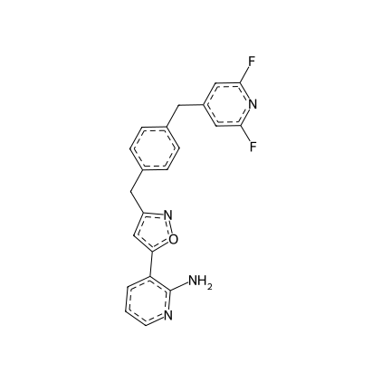 Nc1ncccc1-c1cc(Cc2ccc(Cc3cc(F)nc(F)c3)cc2)no1